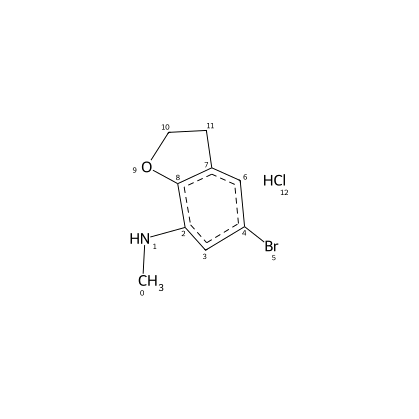 CNc1cc(Br)cc2c1OCC2.Cl